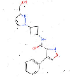 O=C(NC1CC(n2ccc(CO)n2)C1)c1nocc1-c1ccccc1